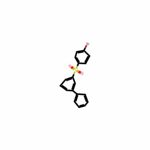 O=S(=O)(c1ccc(Br)cc1)c1cccc(-c2ccccc2)c1